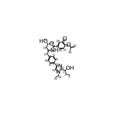 CCC(O)c1nc(-c2ccc(CC(CCO)NC(=O)c3ccc(OC(C)C)c(Cl)c3)cc2)cn1CC